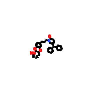 CCC(Oc1cccc(C=CCn2cc(C(c3ccccc3)c3ccccc3)ccc2=O)c1)C(=O)O